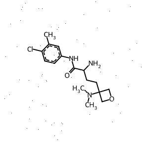 Cc1cc(NC(=O)C(N)CCC2(N(C)C)COC2)ccc1Cl